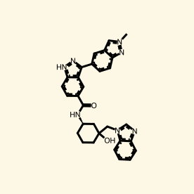 Cn1cc2cc(-c3n[nH]c4ccc(C(=O)N[C@@H]5CCCC(O)(Cn6cnc7ccccc76)C5)cc34)ccc2n1